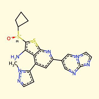 Cn1nccc1-c1cc(-c2cnc3nccn3c2)nc2sc([S@@+]([O-])C3CCC3)c(N)c12